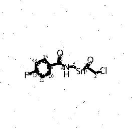 O=[C](CCl)[Sn][CH2]NC(=O)c1ccc(F)cc1